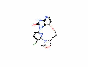 CN1c2nc(ccc2Cl)-n2c(=O)[nH]c3nccc(c32)OCCCC1CO